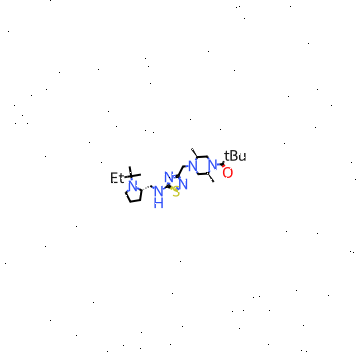 CCC(C)(C)N1CCC[C@H]1CNc1nc(CN2C[C@H](C)N(C(=O)C(C)(C)C)C[C@@H]2C)ns1